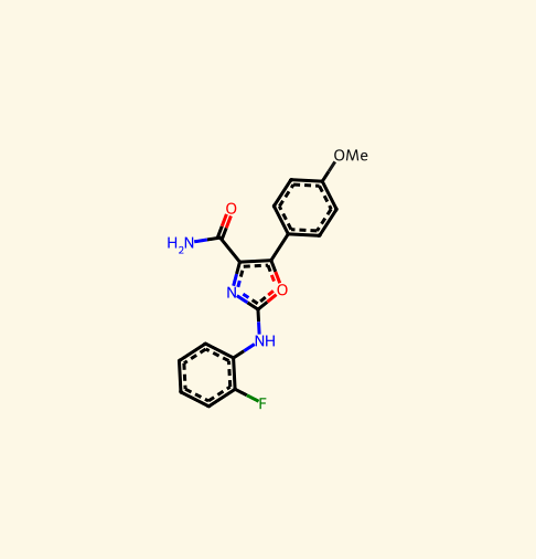 COc1ccc(-c2oc(Nc3ccccc3F)nc2C(N)=O)cc1